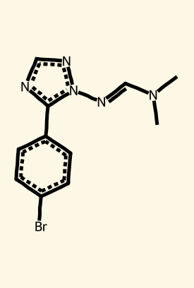 CN(C)C=Nn1ncnc1-c1ccc(Br)cc1